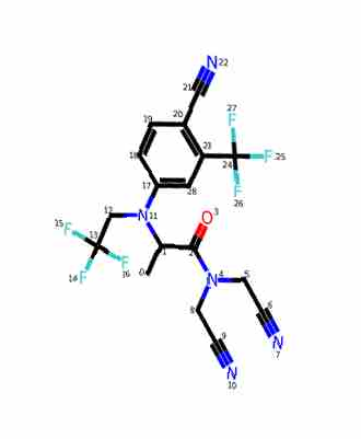 CC(C(=O)N(CC#N)CC#N)N(CC(F)(F)F)c1ccc(C#N)c(C(F)(F)F)c1